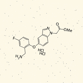 COC(=O)Cn1ncc2cc(Oc3ccc(F)cc3CN)ccc21.Cl.Cl